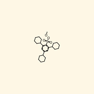 COOS(=O)(=O)c1c(C2CCCCC2)cc(C2CCCCC2)cc1C1CCCCC1